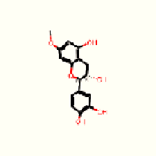 COc1cc(O)c2c(c1)O[C@H](c1ccc(O)c(O)c1)[C@@H](O)C2